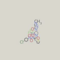 CN1C=C2C(=O)N(C3CCN(C(=O)[C@@H](Cc4cccs4)NC(=O)N(OC(=O)C(F)(F)F)c4ccc(Cl)cc4)CC3)CN2C1